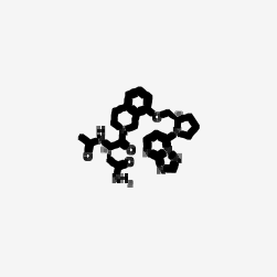 CC(=O)N[C@@H](CC(N)=O)C(=O)N1CCc2cccc(OC[C@H]3CCCN3c3ccnc4ncnn34)c2C1